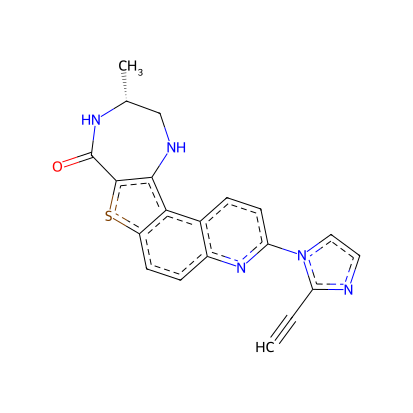 C#Cc1nccn1-c1ccc2c(ccc3sc4c(c32)NC[C@@H](C)NC4=O)n1